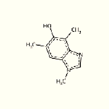 Cc1cc2c(n[c]n2C)c(C)c1O